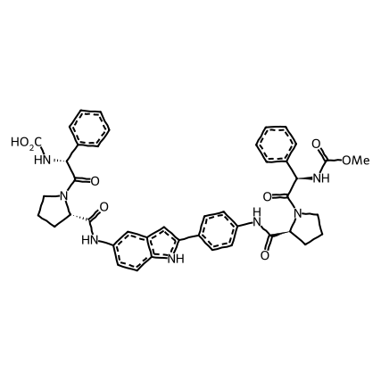 COC(=O)N[C@@H](C(=O)N1CCC[C@H]1C(=O)Nc1ccc(-c2cc3cc(NC(=O)[C@@H]4CCCN4C(=O)[C@H](NC(=O)O)c4ccccc4)ccc3[nH]2)cc1)c1ccccc1